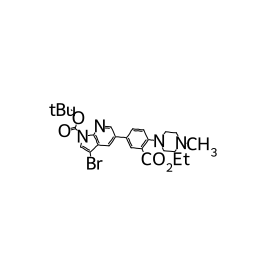 CCOC(=O)c1cc(-c2cnc3c(c2)c(Br)cn3C(=O)OC(C)(C)C)ccc1N1CCN(C)CC1